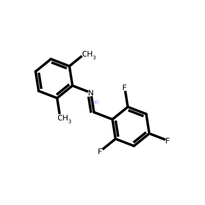 Cc1cccc(C)c1/N=C/c1c(F)cc(F)cc1F